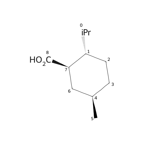 CC(C)[C@@H]1CC[C@@H](C)C[C@H]1C(=O)O